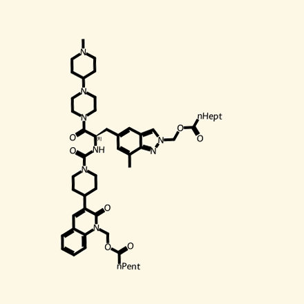 CCCCCCCC(=O)OCn1cc2cc(C[C@@H](NC(=O)N3CCC(c4cc5ccccc5n(COC(=O)CCCCC)c4=O)CC3)C(=O)N3CCN(C4CCN(C)CC4)CC3)cc(C)c2n1